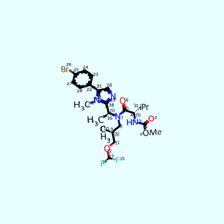 COC(=O)N[C@H](C(=O)N(C[C@H](C)COC(F)F)[C@@H](C)c1ncc(-c2ccc(Br)cc2)n1C)C(C)C